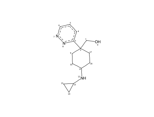 OCC1(c2cccnn2)CCC(NC2CC2)CC1